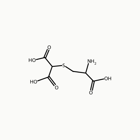 NC(CSC(C(=O)O)C(=O)O)C(=O)O